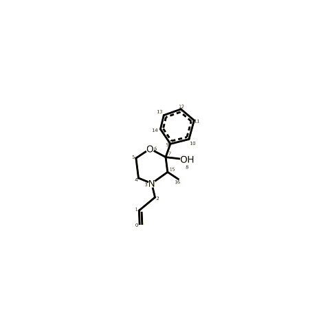 C=CCN1CCOC(O)(c2ccccc2)C1C